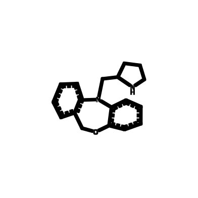 c1ccc2c(c1)COc1ccccc1N2CC1CCCN1